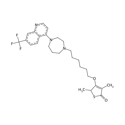 CC1=C(OCCCCCCN2CCCN(c3ccnc4cc(C(F)(F)F)ccc34)CC2)C(C)SC1=O